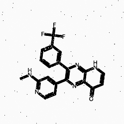 CNc1cc(-c2nc3c(=O)cc[nH]c3nc2-c2cccc(C(F)(F)F)c2)ccn1